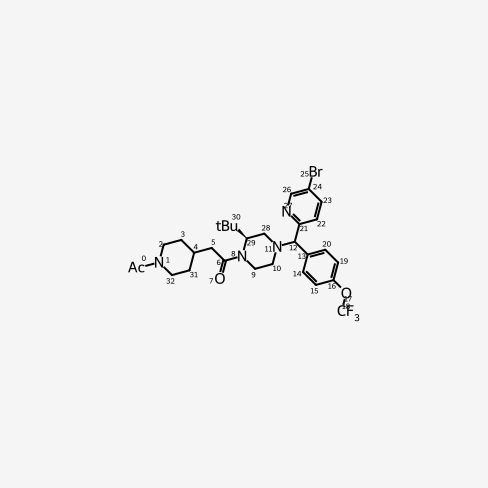 CC(=O)N1CCC(CC(=O)N2CCN(C(c3ccc(OC(F)(F)F)cc3)c3ccc(Br)cn3)C[C@@H]2C(C)(C)C)CC1